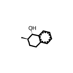 C[C@@H]1CCc2ccccc2[C@H]1O